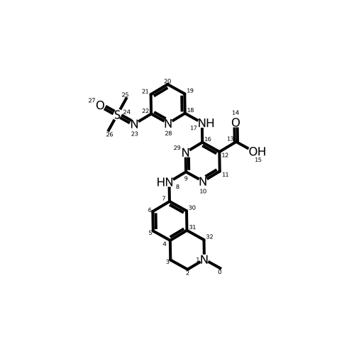 CN1CCc2ccc(Nc3ncc(C(=O)O)c(Nc4cccc(N=S(C)(C)=O)n4)n3)cc2C1